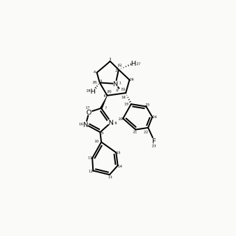 CN1[C@H]2CC[C@@H]1[C@H](c1nc(-c3ccccc3)no1)[C@@H](c1ccc(F)cc1)C2